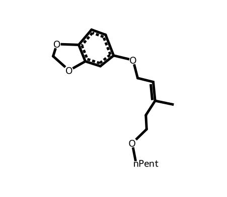 CCCCCOCCC(C)=CCOc1ccc2c(c1)OCO2